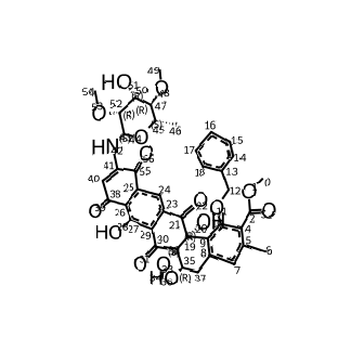 COC(=O)c1c(C)cc2c(c1OCc1ccccc1)[C@]1(O)C(=O)c3cc4c(c(O)c3C(=O)[C@]1(OC)[C@H](O)C2)C(=O)C=C(N[C@H]1O[C@@H](C)[C@H](OC)[C@@H](O)[C@H]1OC)C4=O